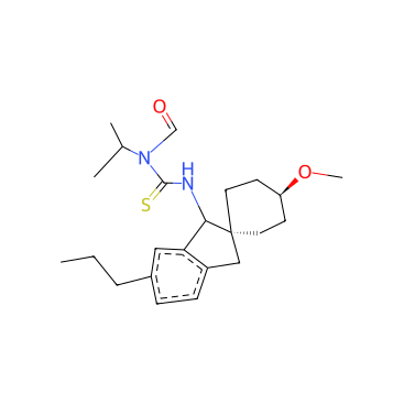 CCCc1ccc2c(c1)C(NC(=S)N(C=O)C(C)C)[C@]1(CC[C@H](OC)CC1)C2